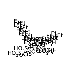 CCN(CC)CC.CCN(CC)CC.CCN(CC)CC.CCN(CC)CC.CCN(CC)CC.CCN(CC)CC.CCN(CC)CC.CCN(CC)CC.O=S(=O)(O)OC[C@H]1O[C@@H](Sc2ccc(OS(=O)(=O)O)cc2)[C@H](OS(=O)(=O)O)[C@@H](OS(=O)(=O)O)[C@@H]1O[C@H]1O[C@H](COS(=O)(=O)O)[C@@H](OS(=O)(=O)O)[C@H](OS(=O)(=O)O)[C@H]1OS(=O)(=O)O